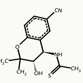 CC(=S)N[C@@H]1c2cc(C#N)ccc2OC(C)(C)[C@H]1O